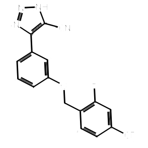 N#Cc1[nH]nnc1-c1cccc(OCc2ccc(C(F)(F)F)cc2F)c1